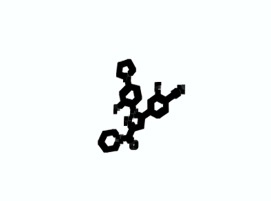 N#Cc1ccc(-c2cc(C(=O)N3CCCCC3)nn2-c2ccc(N3CCCC3)cc2F)cc1F